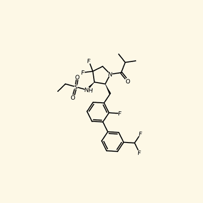 CCS(=O)(=O)N[C@@H]1[C@H](Cc2cccc(-c3cccc(C(F)F)c3)c2F)N(C(=O)C(C)C)CC1(F)F